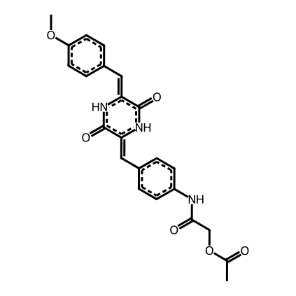 COc1ccc(C=c2[nH]c(=O)c(=Cc3ccc(NC(=O)COC(C)=O)cc3)[nH]c2=O)cc1